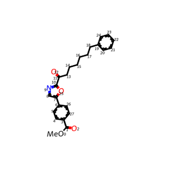 COC(=O)c1ccc(-c2cnc(C(=O)CCCCCCc3ccccc3)o2)cc1